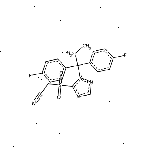 C[SiH2]C(c1ccc(F)cc1)(c1ccc(F)cc1)n1ncnc1S(=O)(=O)CC#N